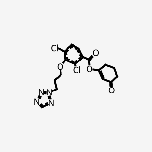 O=C1C=C(OC(=O)c2ccc(Cl)c(OCCCn3ncnn3)c2Cl)CCC1